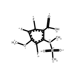 COc1c(F)c(F)c(C(=O)O)c(N(C)S(C)(=O)=O)c1F